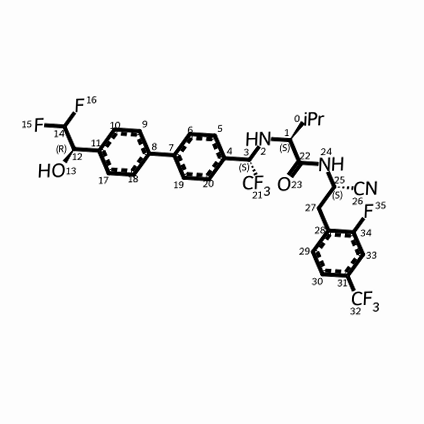 CC(C)[C@H](N[C@@H](c1ccc(-c2ccc([C@@H](O)C(F)F)cc2)cc1)C(F)(F)F)C(=O)N[C@H](C#N)Cc1ccc(C(F)(F)F)cc1F